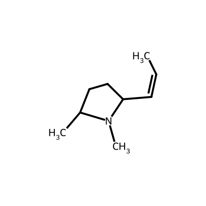 C/C=C\C1CCC(C)N1C